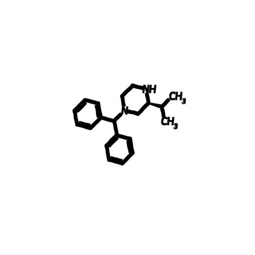 CC(C)[C@H]1CN(C(c2ccccc2)c2ccccc2)CCN1